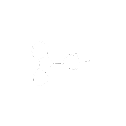 Nc1ccc(C2C3C=CC=CC3=C3NCCCC32)cc1